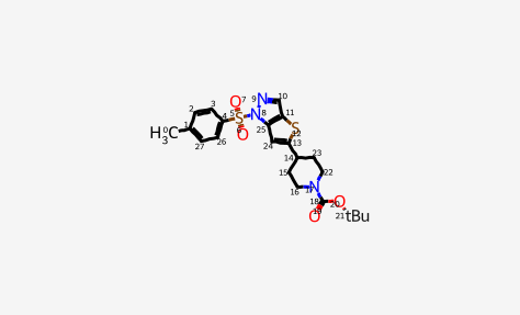 Cc1ccc(S(=O)(=O)n2ncc3sc(C4CCN(C(=O)OC(C)(C)C)CC4)cc32)cc1